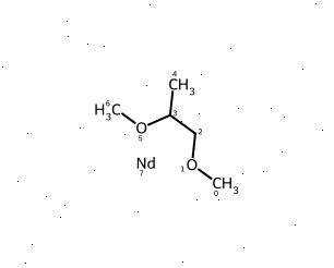 COCC(C)OC.[Nd]